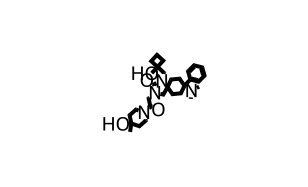 CN(C)C1(c2ccccc2)CCC2(CC1)CN(CC(=O)N1CCC(C)(O)CC1)C(=O)N2CC1(O)CCC1